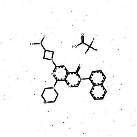 CCN(CC)C1CN(c2nc(N3CCNCC3)c3ncn(-c4cccc5ccccc45)c(=O)c3n2)C1.O=C(O)C(F)(F)F